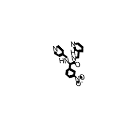 O=C(NCc1cccnc1)C(NCc1ccncc1)c1cccc([N+](=O)[O-])c1